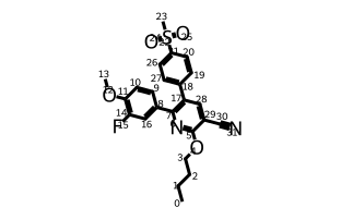 CCCCOc1nc(-c2ccc(OC)c(F)c2)c(-c2ccc(S(C)(=O)=O)cc2)cc1C#N